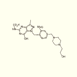 COc1cc(CN2CCN(CCO)CC2)ccc1Cn1nc(C)c2nc(NC(=O)O)nc(O)c21